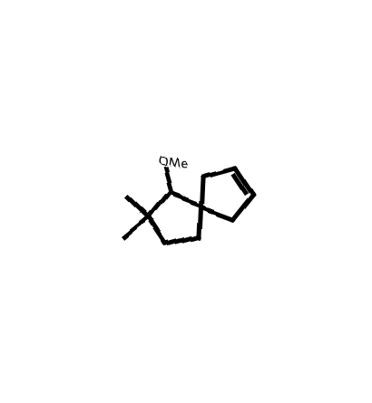 COC1C(C)(C)CCC12CC=CC2